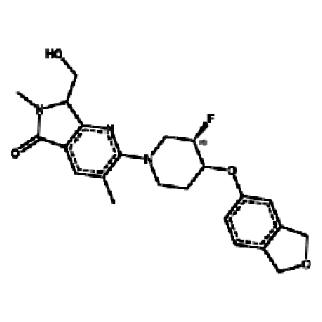 Cc1cc2c(nc1N1CCC(Oc3ccc4c(c3)COC4)[C@H](F)C1)C(CO)N(C)C2=O